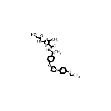 CCOc1ccc(N2CC[C@@H](Oc3ccc([C@H](C)NC(=O)c4sc(NC(=O)CO)nc4C)cc3)C2)cc1